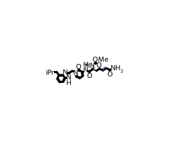 COC(=O)N[C@@H](CC/C=C/C(N)=O)C(=O)Nc1cccn(Cc2nc3c(CC(C)C)cccc3[nH]2)c1=O